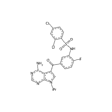 CC(C)n1cc(C(=O)c2ccc(F)c(NS(=O)(=O)c3ccc(Cl)cc3Cl)c2)c2c(N)ncnc21